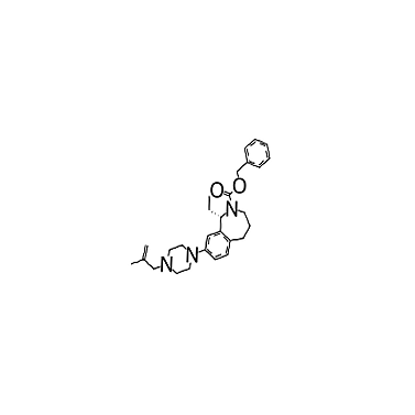 C=C(C)CN1CCN(c2ccc3c(c2)[C@H](CC)N(C(=O)OCc2ccccc2)CCC3)CC1